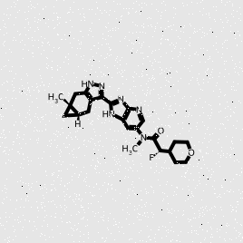 CN(C(=O)[C@@H](F)C1CCOCC1)c1cnc2nc(-c3n[nH]c4c3C[C@@H]3C[C@]3(C)C4)[nH]c2c1